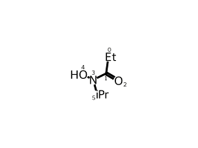 CCC(=O)N(O)C(C)C